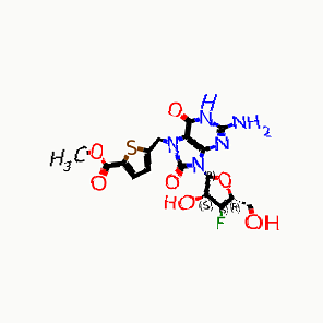 COC(=O)c1ccc(Cn2c(=O)n([C@@H]3O[C@H](CO)[C@@H](F)[C@H]3O)c3nc(N)[nH]c(=O)c32)s1